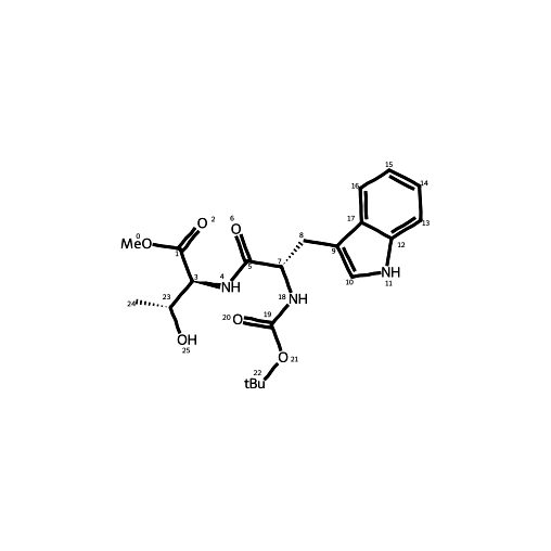 COC(=O)[C@@H](NC(=O)[C@H](Cc1c[nH]c2ccccc12)NC(=O)OC(C)(C)C)[C@@H](C)O